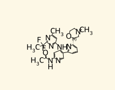 CC(=O)Nc1cc(Nc2cc(C)nc(C(C)(F)F)n2)c(-c2cccc([C@H]3CN(C)CCO3)n2)cn1